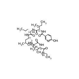 CCC[C@H](NC(=O)[C@@H](NC(=O)c1ccc(O)nc1)[C@@H](C)CC)C(=O)N[C@H](CN[C@@H](C)C(=O)N[C@H](C(=O)NCC)C(C)C)CC(C)C